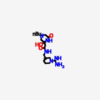 CCCCN1CC(=O)N[C@](O)(CC(=O)NC[C@@H]2CCCN(C(=N)N)C2)C1